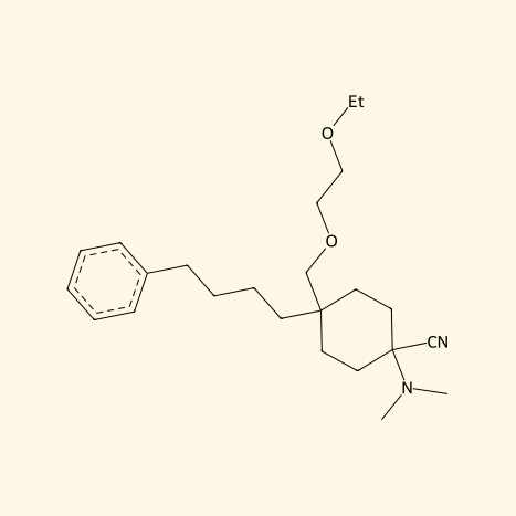 CCOCCOCC1(CCCCc2ccccc2)CCC(C#N)(N(C)C)CC1